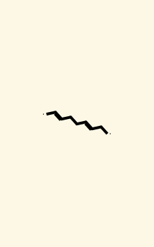 [CH2]C=CCCC=CC[CH2]